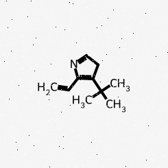 C=CC1=C(C(C)(C)C)CC=N1